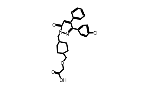 O=C(O)COCC1CCC(Cn2nc(-c3ccc(Cl)cc3)c(-c3ccccc3)cc2=O)CC1